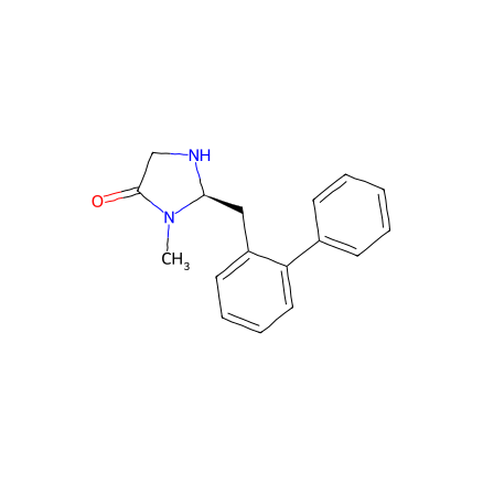 CN1C(=O)CN[C@H]1Cc1ccccc1-c1ccccc1